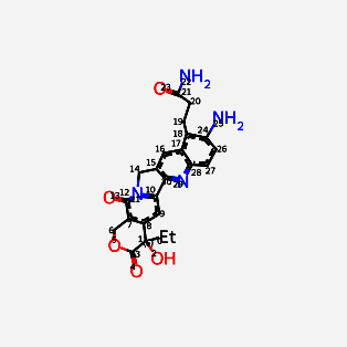 CC[C@@]1(O)C(=O)OCc2c1cc1n(c2=O)Cc2cc3c(CCC(N)=O)c(N)ccc3nc2-1